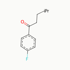 CC(C)CCC(=O)c1ccc(F)cc1